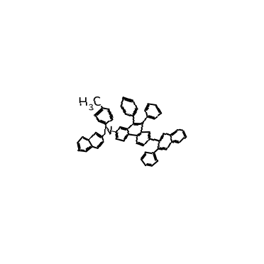 Cc1ccc(N(c2ccc3ccccc3c2)c2ccc3c(c2)c(-c2ccccc2)c(-c2ccccc2)c2cc(-c4cc5ccccc5cc4-c4ccccc4)ccc23)cc1